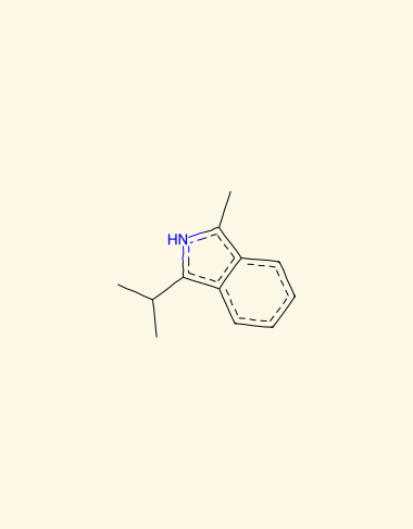 Cc1[nH]c(C(C)C)c2ccccc12